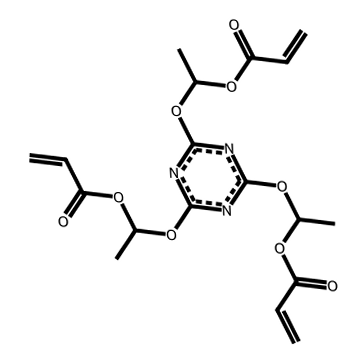 C=CC(=O)OC(C)Oc1nc(OC(C)OC(=O)C=C)nc(OC(C)OC(=O)C=C)n1